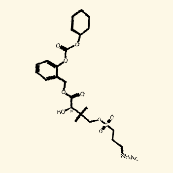 CC(=O)NCCCS(=O)(=O)OCC(C)(C)[C@@H](O)C(=O)OCc1ccccc1OC(=O)OC1CCCCC1